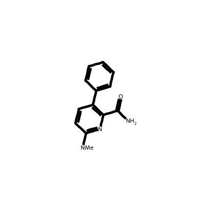 CNc1ccc(-c2ccccc2)c(C(N)=O)n1